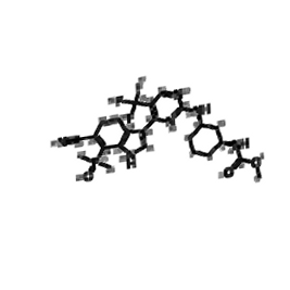 COC(=O)N[C@H]1CCC[C@@H](Nc2ncc(C(F)(F)F)c(-c3c[nH]c4c(P(C)(C)=O)c(C#N)ccc34)n2)C1